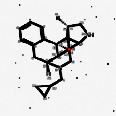 c1ccc2c(c1)C[C@H]1N(CC3CC3)CC[C@@]23C2C4CC[C@@]13C[C@@H]2CN4